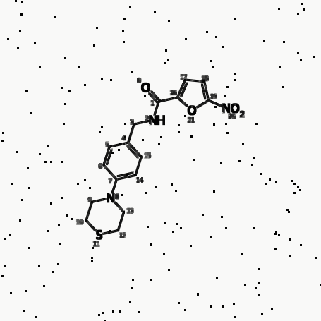 O=C(NCc1ccc(N2CCSCC2)cc1)c1ccc([N+](=O)[O-])o1